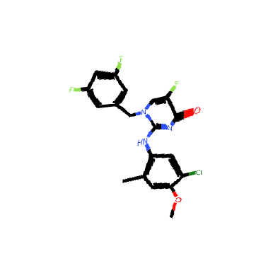 COc1cc(C)c(Nc2nc(=O)c(F)cn2Cc2cc(F)cc(F)c2)cc1Cl